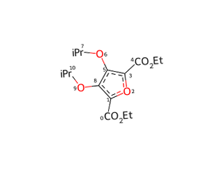 CCOC(=O)c1oc(C(=O)OCC)c(OC(C)C)c1OC(C)C